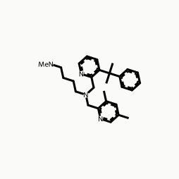 CNCCCCN(Cc1ncc(C)cc1C)Cc1ncccc1C(C)(C)c1ccccc1